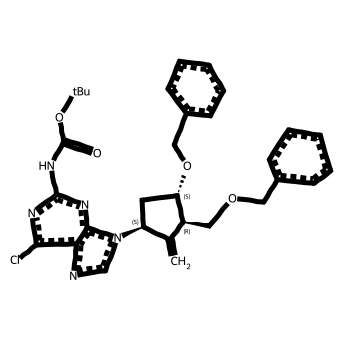 C=C1[C@H](COCc2ccccc2)[C@@H](OCc2ccccc2)C[C@@H]1n1cnc2c(Cl)nc(NC(=O)OC(C)(C)C)nc21